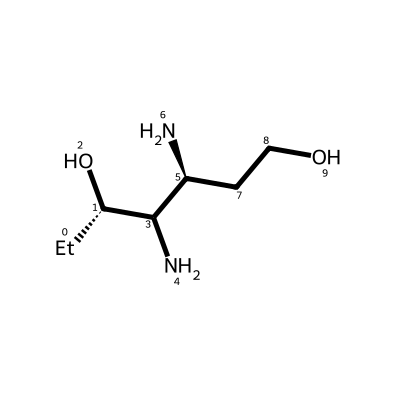 CC[C@H](O)C(N)[C@@H](N)CCO